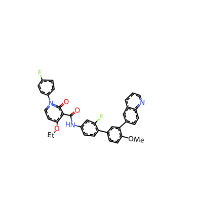 CCOc1ccn(-c2ccc(F)cc2)c(=O)c1C(=O)Nc1ccc(-c2ccc(OC)c(-c3ccc4ncccc4c3)c2)c(F)c1